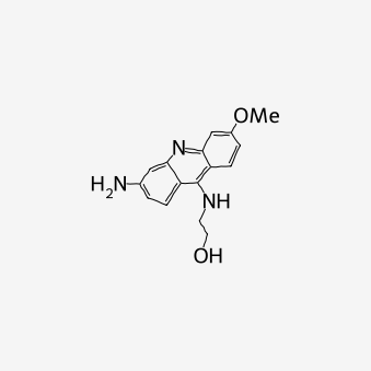 COc1ccc2c(NCCO)c3ccc(N)cc3nc2c1